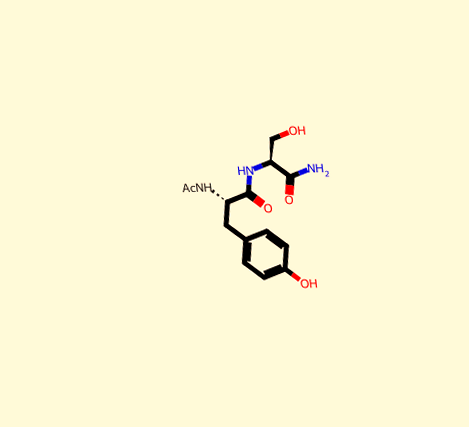 CC(=O)N[C@@H](Cc1ccc(O)cc1)C(=O)N[C@@H](CO)C(N)=O